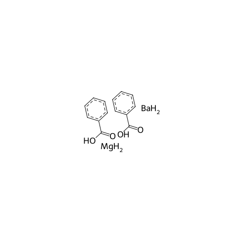 O=C(O)c1ccccc1.O=C(O)c1ccccc1.[BaH2].[MgH2]